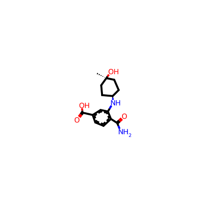 C[C@]1(O)CC[C@@H](Nc2cc(C(=O)O)ccc2C(N)=O)CC1